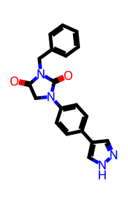 O=C1CN(c2ccc(-c3cn[nH]c3)cc2)C(=O)N1Cc1ccccc1